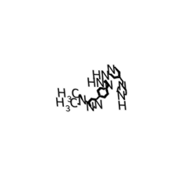 CCN(CC)c1cc(-c2ccc3nc(Nc4cc(CN5CCNCC5)ccn4)[nH]c3c2)ncn1